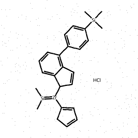 C[Si](C)=[Zr]([C]1=CC=CC1)[CH]1C=Cc2c(-c3ccc([Si](C)(C)C)cc3)cccc21.Cl